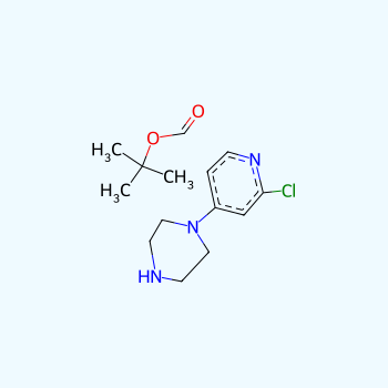 CC(C)(C)OC=O.Clc1cc(N2CCNCC2)ccn1